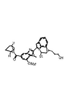 CCC1CN(CCCO)c2cccc3cc(-c4nc5cc(C(=O)N6C[C@H]7CC[C@@H]6C7)cc(OC)c5n4C)n1c23